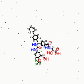 O=C(Nc1ccc(OC(F)(F)F)c(CO)c1)NC(c1ccc(C(=O)NCC(O)C(=O)O)cc1)c1ccc(C2CCCCC2)cc1